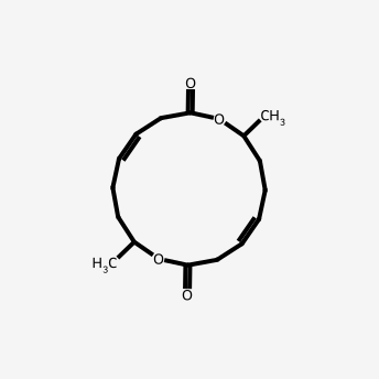 CC1CCC=CCC(=O)OC(C)CCC=CCC(=O)O1